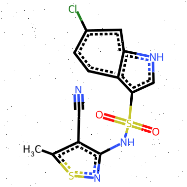 Cc1snc(NS(=O)(=O)c2c[nH]c3cc(Cl)ccc23)c1C#N